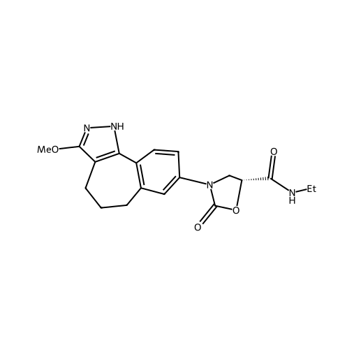 CCNC(=O)[C@H]1CN(c2ccc3c(c2)CCCc2c(OC)n[nH]c2-3)C(=O)O1